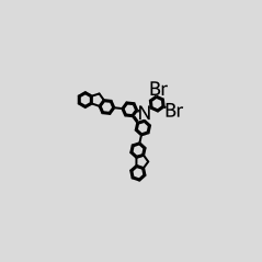 Brc1cc(Br)cc(-n2c3ccc(-c4ccc5c(c4)Cc4ccccc4-5)cc3c3cc(-c4ccc5c(c4)Cc4ccccc4-5)ccc32)c1